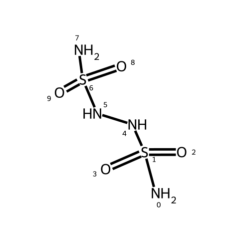 NS(=O)(=O)NNS(N)(=O)=O